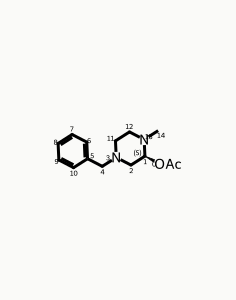 CC(=O)O[C@H]1CN(Cc2ccccc2)CCN1C